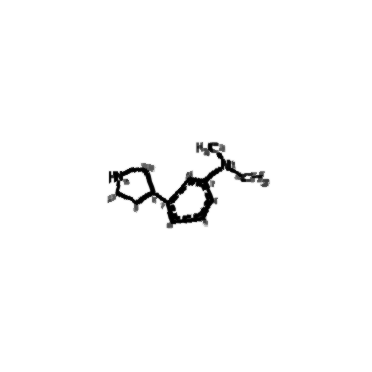 CN(C)c1cccc(C2CCNC2)c1